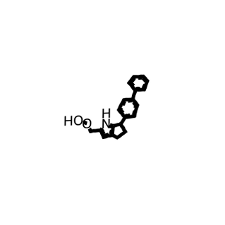 OOCc1cc2c([nH]1)C(c1ccc(-c3ccccc3)cc1)CC2